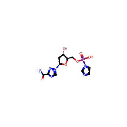 NC(=O)c1ncn([C@H]2C[C@H](O)[C@@H](COP(=O)(O)n3ccnc3)O2)n1